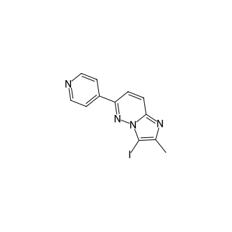 Cc1nc2ccc(-c3ccncc3)nn2c1I